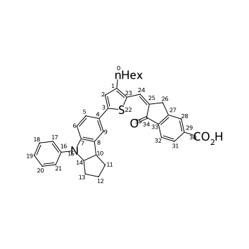 CCCCCCc1cc(-c2ccc3c(c2)C2CCCC2N3c2ccccc2)sc1/C=C1/Cc2cc(C(=O)O)ccc2C1=O